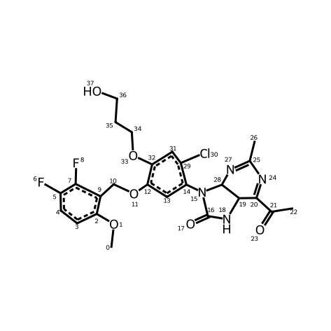 COc1ccc(F)c(F)c1COc1cc(N2C(=O)NC3C(C(C)=O)=NC(C)=NC32)c(Cl)cc1OCCCO